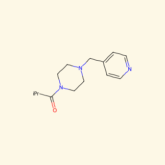 CC(C)C(=O)N1CCN(Cc2ccncc2)CC1